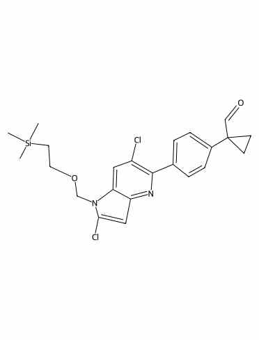 C[Si](C)(C)CCOCn1c(Cl)cc2nc(-c3ccc(C4(C=O)CC4)cc3)c(Cl)cc21